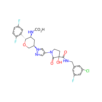 O=C(O)N[C@H]1C[C@@H](n2cc(N3CCC(O)(C(=O)NCc4cc(F)cc(Cl)c4)C3=O)cn2)CO[C@@H]1c1cc(F)ccc1F